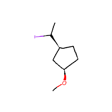 CO[C@@H]1CC[C@H](C(C)I)C1